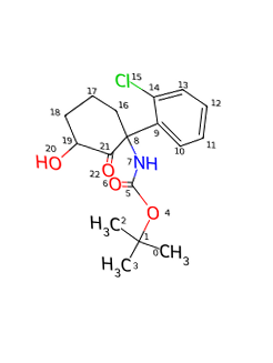 CC(C)(C)OC(=O)NC1(c2ccccc2Cl)CCCC(O)C1=O